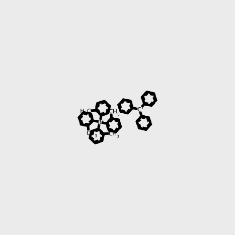 Cc1ccccc1[B-](c1ccccc1C)(c1ccccc1C)c1ccccc1C.c1ccc([C+](c2ccccc2)c2ccccc2)cc1